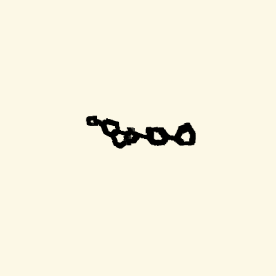 Clc1ccc2c(c1)CCn1cc(-c3ccc(-c4ccccc4)cc3)nc1-2